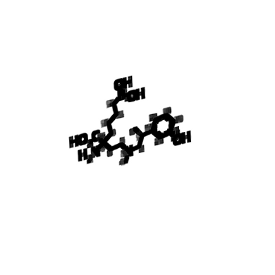 C[C@H](CN(C)CC[C@](N)(CCCCB(O)O)C(=O)O)c1cccc(O)c1